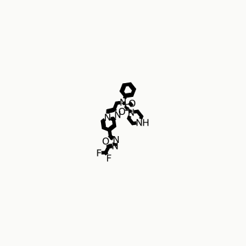 O=S(=O)(N1CCNCC1)N(Cc1cn2ccc(-c3nnc(C(F)F)o3)cc2n1)c1ccccc1